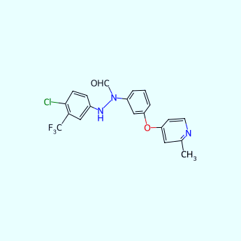 Cc1cc(Oc2cccc(N(C=O)Nc3ccc(Cl)c(C(F)(F)F)c3)c2)ccn1